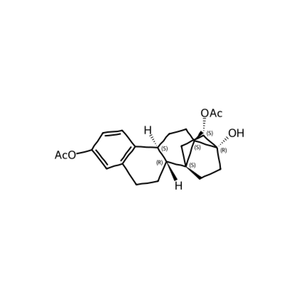 CC(=O)Oc1ccc2c(c1)CC[C@@H]1[C@@H]2CC[C@@]2(C)[C@]13CC[C@]2(O)[C@@H](OC(C)=O)C3